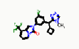 Cn1cnnc1C(c1cc(Br)cc(-n2cc3c(C(F)(F)F)cccn3c2=O)c1)C1CCC1